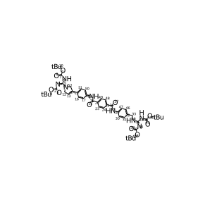 CC(C)(C)OC(=O)/N=C(/NC(=O)OC(C)(C)C)N1CC=C(c2ccc(NC(=O)c3ccc(C(=O)Nc4ccc(CN/C(=N\C(=O)OC(C)(C)C)NC(=O)OC(C)(C)C)cc4)cc3)cc2)C1